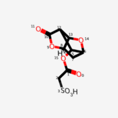 O=C(CS(=O)(=O)O)OC1C2C[C@@H]3OC(=O)C1C3O2